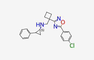 Clc1ccc(-c2nc(C3(CN[C@H]4CC4c4ccccc4)CCC3)no2)cc1